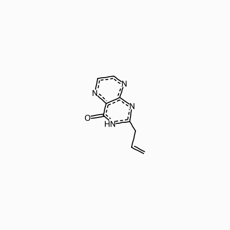 C=CCc1nc2nccnc2c(=O)[nH]1